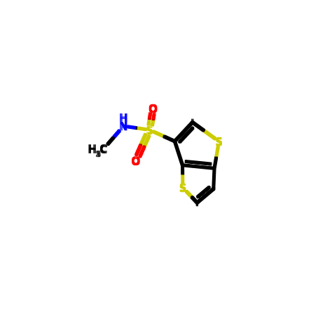 CNS(=O)(=O)c1[c]sc2c[c]sc12